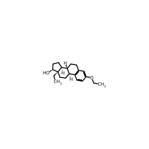 CCOc1ccc2c(c1)CC[C@@H]1[C@@H]2CC[C@]2(CC)[C@@H](O)CC[C@@H]12